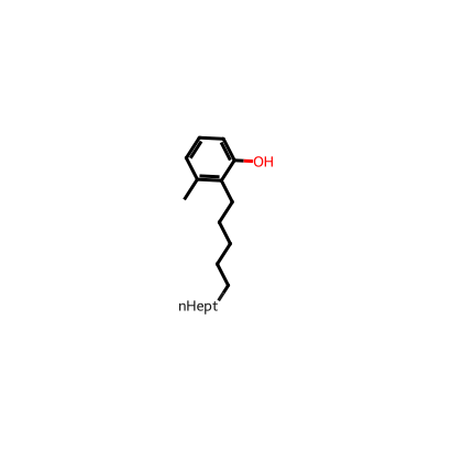 CCCCCCCCCCCCc1c(C)cccc1O